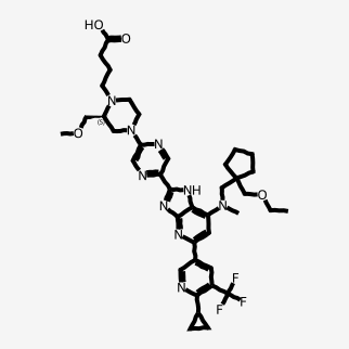 CCOCC1(CN(C)c2cc(-c3cnc(C4CC4)c(C(F)(F)F)c3)nc3nc(-c4cnc(N5CCN(CCCC(=O)O)[C@H](COC)C5)cn4)[nH]c23)CCCC1